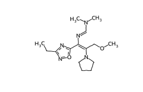 CCc1noc(C(N=CN(C)C)=C(COC)N2CCCC2)n1